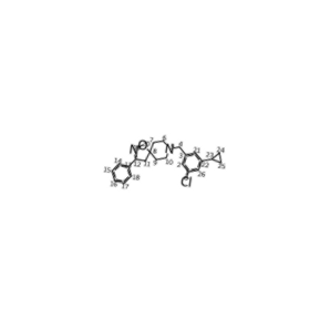 Clc1cc(CN2CCC3(CC2)CC(c2ccccc2)=NO3)cc(C2CC2)c1